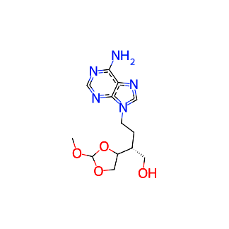 COC1OCC([C@@H](CO)CCn2cnc3c(N)ncnc32)O1